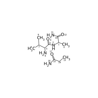 CC(NC(=O)C(N)C(C)C)C(N)=O.CCC(N)=O